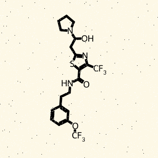 O=C(NCCc1cccc(OC(F)(F)F)c1)c1sc(CC(O)N2CCCC2)nc1C(F)(F)F